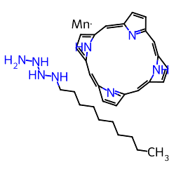 C1=Cc2cc3ccc(cc4nc(cc5ccc(cc1n2)[nH]5)C=C4)[nH]3.CCCCCCCCCCNNNN.[Mn]